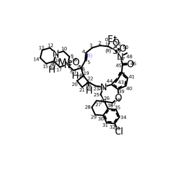 CC[C@@H]1CC/C=C/[C@@](CN2CCN3CCCC[C@@H]3C2)(OC)[C@@H]2CC[C@H]2CN2C[C@@]3(CCCc4cc(Cl)ccc43)COc3ccc(cc32)C(=O)N(C)S1(=O)=O